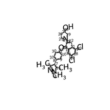 Cc1nn(C)c(C)c1-c1ccc(O[C@H]2c3cc(Cl)cc(Cl)c3C[C@@H]2N2CCC(O)C2)cc1